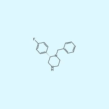 Fc1ccc([C@H]2CNCCN2Cc2ccccc2)cc1